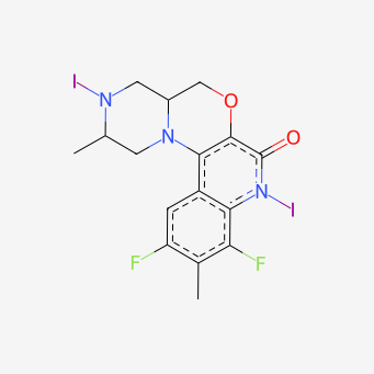 Cc1c(F)cc2c3c(c(=O)n(I)c2c1F)OCC1CN(I)C(C)CN31